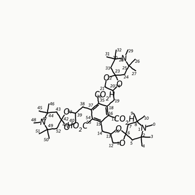 CN1C(C)(C)CC2(CC1(C)C)OCC(Cc1c(C(=O)O)c(CC3COC4(CC(C)(C)N(C)C(C)(C)C4)O3)c(C(=O)O)c(CC3COC4(CC(C)(C)N(C)C(C)(C)C4)O3)c1C(=O)O)O2